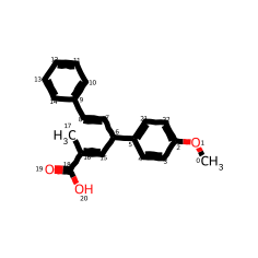 COc1ccc(C(C=Cc2ccccc2)C=C(C)C(=O)O)cc1